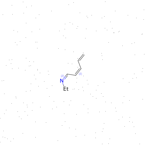 C=C/C=C\C=N/CC